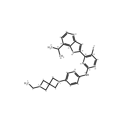 CCN1CC2(C1)CN(c1ccc(Nc3ncc(F)c(-c4cc5nccc(C(C)C)c5s4)n3)nc1)C2